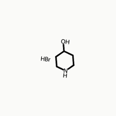 Br.OC1CCNCC1